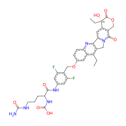 CCc1c2c(nc3ccc(OCc4c(F)cc(NC(=O)C(CCCNC(N)=O)NC(=O)O)cc4F)cc13)-c1cc3c(c(=O)n1C2)COC(=O)[C@]3(O)CC